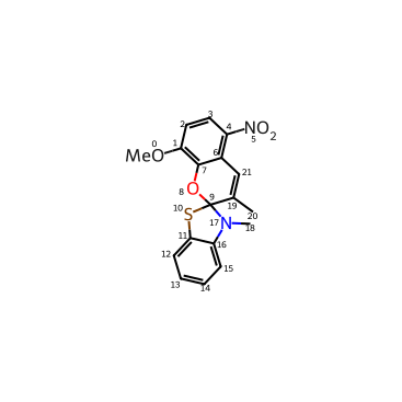 COc1ccc([N+](=O)[O-])c2c1OC1(Sc3ccccc3N1C)C(C)=C2